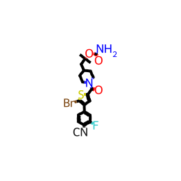 CC(C)(CC1CCN(C(=O)c2cc(-c3ccc(C#N)c(F)c3)c(Br)s2)CC1)OC(N)=O